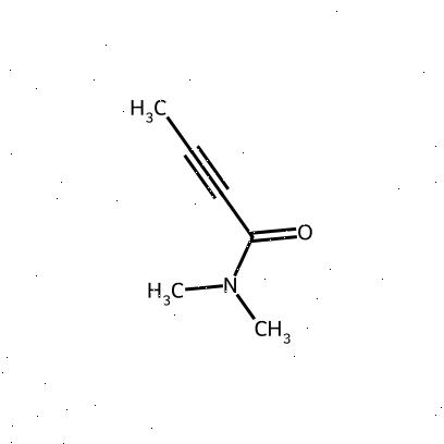 CC#CC(=O)N(C)C